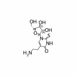 NCCc1cn([C@@H]2O[C@H](CO)[C@@H](O)[C@H]2O)c(=S)[nH]c1=O